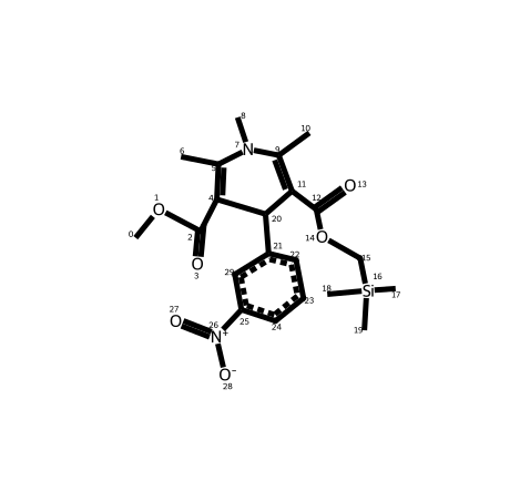 COC(=O)C1=C(C)N(C)C(C)=C(C(=O)OC[Si](C)(C)C)C1c1cccc([N+](=O)[O-])c1